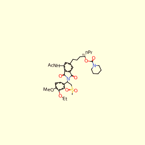 CCC[C@@H](CCCc1cc(NC(C)=O)c2c(c1)C(=O)N(C(CS(C)(=O)=O)c1ccc(OC)c(OCC)c1)C2=O)OC(=O)N1CCCCC1